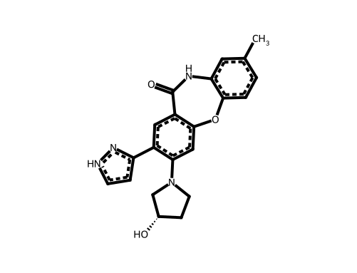 Cc1ccc2c(c1)NC(=O)c1cc(-c3cc[nH]n3)c(N3CC[C@H](O)C3)cc1O2